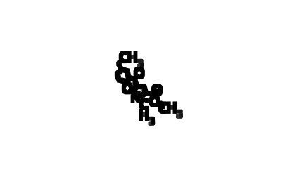 CCOC(=O)c1cc2c(=O)c3cc(CC)ccc3oc2nc1C